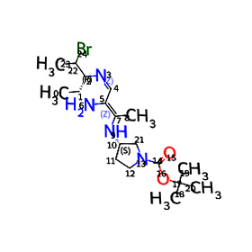 CC[C@@H](/N=C\C(N)=C(/C)N[C@H]1CCN(C(=O)OC(C)(C)C)C1)C(C)Br